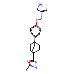 Cc1nnc(C23CCC(c4ccc(OC/C(=C/F)CN)cc4)(CC2)CC3)o1